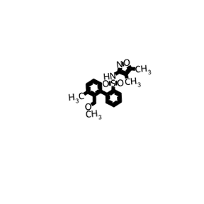 COCc1c(C)cccc1-c1ccccc1S(=O)(=O)Nc1noc(C)c1C